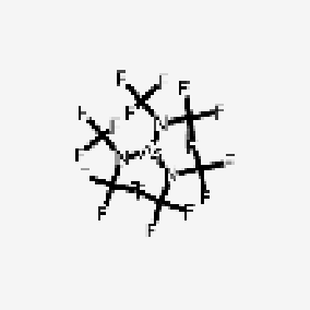 FC(F)(F)N([As](N(C(F)(F)F)C(F)(F)F)N(C(F)(F)F)C(F)(F)F)C(F)(F)F